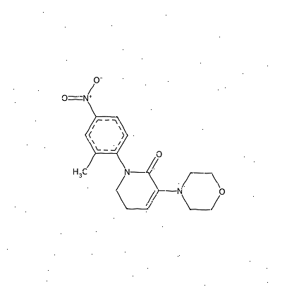 Cc1cc([N+](=O)[O-])ccc1N1CCC=C(N2CCOCC2)C1=O